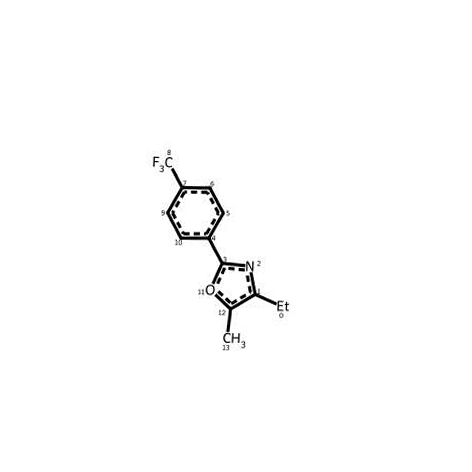 CCc1nc(-c2ccc(C(F)(F)F)cc2)oc1C